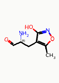 Cc1onc(O)c1C[C@@H](N)C=O